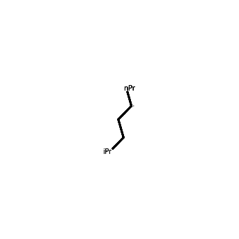 CCC[CH]CCC(C)C